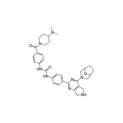 CN(C)C1CCN(C(=O)c2ccc(NC(=O)Nc3ccc(-c4nc5c(c(N6CC7CCC(C6)O7)n4)CNC5)cc3)cc2)CC1